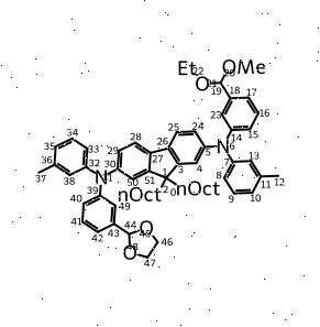 CCCCCCCCC1(CCCCCCCC)c2cc(N(c3cccc(C)c3)c3cccc(C(OC)OCC)c3)ccc2-c2ccc(N(c3cccc(C)c3)c3cccc(C4OCCO4)c3)cc21